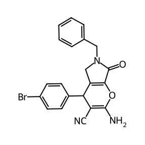 N#CC1=C(N)OC2=C(CN(Cc3ccccc3)C2=O)C1c1ccc(Br)cc1